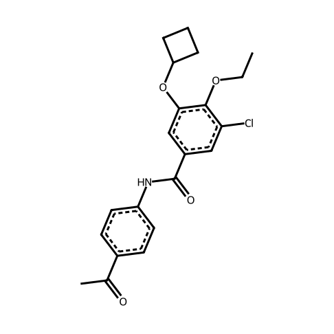 CCOc1c(Cl)cc(C(=O)Nc2ccc(C(C)=O)cc2)cc1OC1CCC1